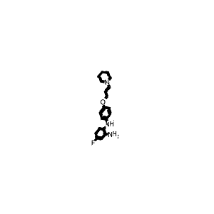 Nc1cc(F)ccc1Nc1ccc(OCCCN2CCCCC2)cc1